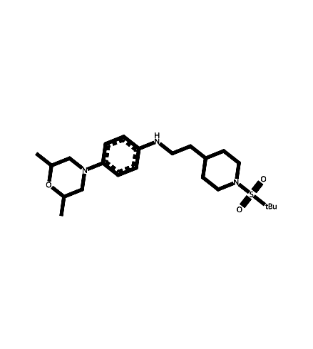 CC1CN(c2ccc(NCCC3CCN(S(=O)(=O)C(C)(C)C)CC3)cc2)CC(C)O1